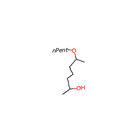 CCCCCOC(C)CCCC(C)O